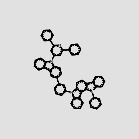 c1ccc(-c2cc(-n3c4ccccc4c4cc(-c5cccc(-n6c7ccccc7c7c6ccc6c8ccccc8n(-c8ccccc8)c67)c5)ccc43)cc(-c3ccccc3)n2)cc1